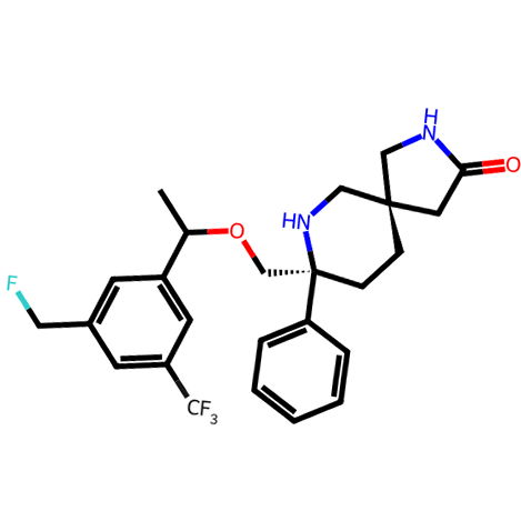 CC(OC[C@@]1(c2ccccc2)CC[C@]2(CNC(=O)C2)CN1)c1cc(CF)cc(C(F)(F)F)c1